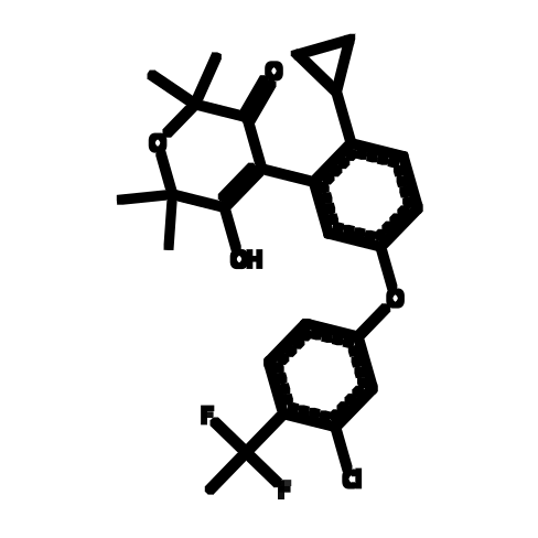 CC1(C)OC(C)(C)C(O)=C(c2cc(Oc3ccc(C(C)(F)F)c(Cl)c3)ccc2C2CC2)C1=O